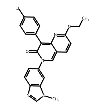 CCOc1ccc2cn(-c3ccc4ncn(C)c4c3)c(=O)c(-c3ccc(Cl)cc3)c2n1